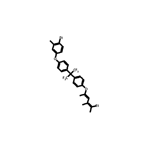 CC/C(C)=C(C)\C=C(/C)Oc1ccc(C(c2ccc(Oc3ccc(CC)c(C)c3)cc2)(C(F)(F)F)C(F)(F)F)cc1